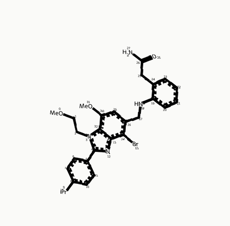 COCCn1c(-c2ccc(C(C)C)cc2)nc2c(Br)c(CNc3ccccc3CC(N)=O)cc(OC)c21